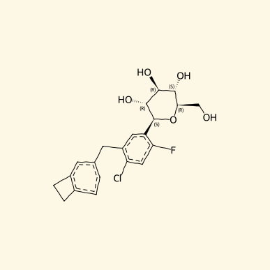 OC[C@H]1O[C@@H](c2cc(Cc3ccc4c(c3)CC4)c(Cl)cc2F)[C@H](O)[C@@H](O)[C@@H]1O